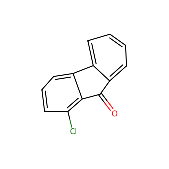 O=C1c2ccccc2-c2cccc(Cl)c21